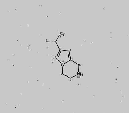 CC(C)C(C)c1cc2n(n1)CCNC2